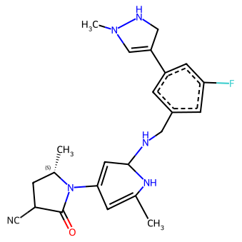 CC1=CC(N2C(=O)C(C#N)C[C@@H]2C)=CC(NCc2cc(F)cc(C3=CN(C)NC3)c2)N1